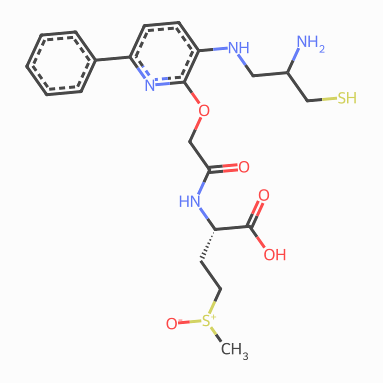 C[S+]([O-])CC[C@H](NC(=O)COc1nc(-c2ccccc2)ccc1NCC(N)CS)C(=O)O